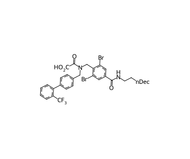 CCCCCCCCCCCCNC(=O)c1cc(Br)c(CN(Cc2ccc(-c3ccccc3C(F)(F)F)cc2)C(=O)C(=O)O)c(Br)c1